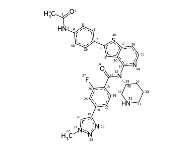 CC(=O)Nc1ccc(-c2cc3c(N(C(=O)c4ccc(-c5cn(C)nn5)cc4F)[C@@H]4CCCNC4)nccc3s2)cc1